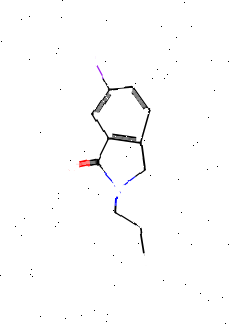 CCCN1Cc2ccc(I)cc2C1=O